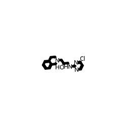 OC(CNc1nccc(Cl)n1)CN1CCc2ccccc2C1